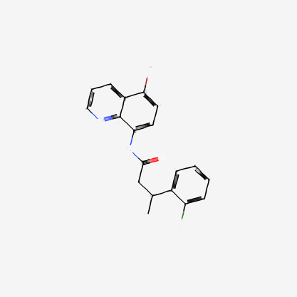 CC(CC(=O)Nc1ccc(Br)c2cccnc12)c1ccccc1Cl